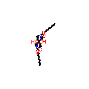 CCCCCCCCOC(=O)CN1C(C)(C)CC(O)(C2(O)CC(C)(C)N(CC(=O)OCCCCCCCC)C(C)(C)C2)CC1(C)C